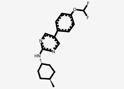 C[C@H]1CC[C@H](Nc2ncc(-c3ccc(OC(F)F)cc3)cn2)CC1